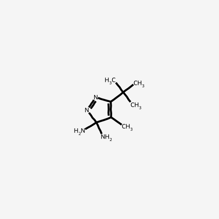 CC1=C(C(C)(C)C)N=NC1(N)N